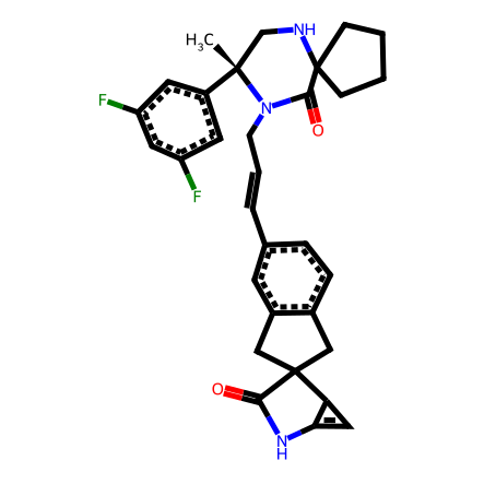 C[C@@]1(c2cc(F)cc(F)c2)CNC2(CCCC2)C(=O)N1C/C=C/c1ccc2c(c1)CC1(C2)C(=O)NC2=CC21